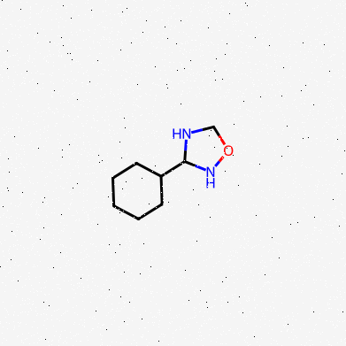 C1CCC(C2NCON2)CC1